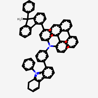 CC1(c2ccccc2)c2ccccc2-c2c(-c3ccc(N(c4cccc(-c5cccc6c7c(n(-c8ccccc8)c56)CCC=C7)c4)c4ccccc4-c4cccc5cccc(-c6ccccc6)c45)cc3)cccc21